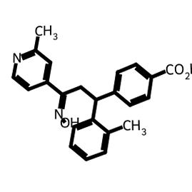 Cc1cc(/C(CC(c2ccc(C(=O)O)cc2)c2ccccc2C)=N/O)ccn1